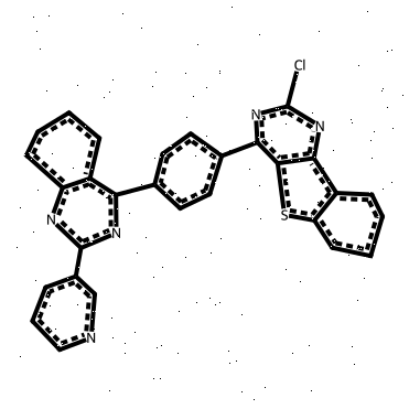 Clc1nc(-c2ccc(-c3nc(-c4cccnc4)nc4ccccc34)cc2)c2sc3ccccc3c2n1